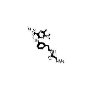 CNCC(=O)NCCc1cccc(Nc2nc(N(C)C)c(C)nc2C(N)=O)c1